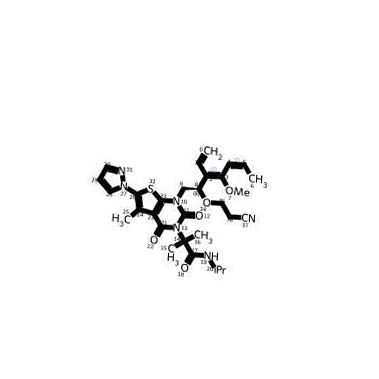 C=C/C(=C(\C=C/C)OC)[C@H](Cn1c(=O)n(C(C)(C)C(=O)NC(C)C)c(=O)c2c(C)c(-n3cccn3)sc21)OCCC#N